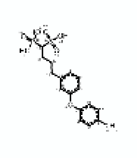 Cc1ccc(Oc2cccc(CCCC(P(=O)(O)O)S(=O)(=O)O)c2)cc1